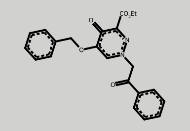 CCOC(=O)c1nn(CC(=O)c2ccccc2)cc(OCc2ccccc2)c1=O